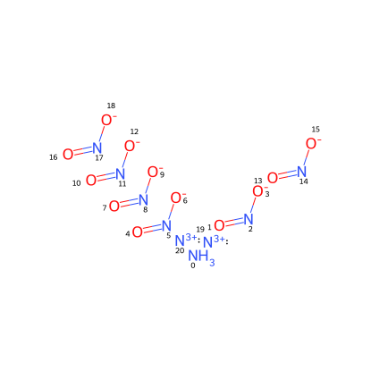 N.O=N[O-].O=N[O-].O=N[O-].O=N[O-].O=N[O-].O=N[O-].[N+3].[N+3]